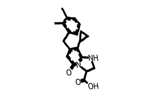 Cc1cccc(Cc2cc(=O)n3c(c2C2CC2)NCC3C(=O)O)c1C